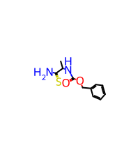 CC(NC(=O)OCc1ccccc1)C(N)=S